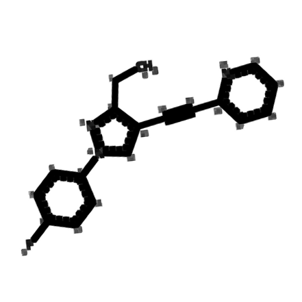 CCc1nn(-c2ccc(F)cc2)cc1C#Cc1ccccn1